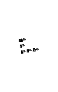 [N-3].[N-3].[N-3].[Nb+5].[Zr+4]